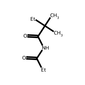 CCC(=O)NC(=O)C(C)(C)CC